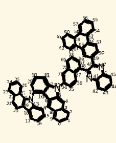 c1ccc2cc3c(cc2c1)c1c(-n2c4ccccc4c4ccc5ccccc5c42)cccc1n3-c1ccc2c(-c3nc4ccccc4nc3-c3ccc4c5ccccc5c5ccccc5c4c3)cccc2c1